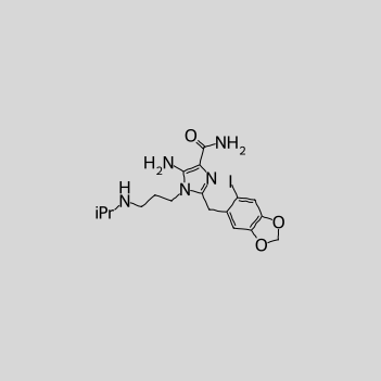 CC(C)NCCCn1c(Cc2cc3c(cc2I)OCO3)nc(C(N)=O)c1N